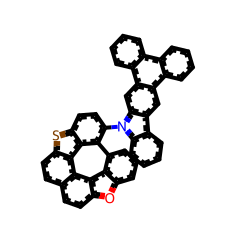 c1cc2c3c(c1)oc1ccc4ccc5sc6ccc(-n7c8ccccc8c8cc9c%10ccccc%10c%10ccccc%10c9cc87)c-2c6c5c4c13